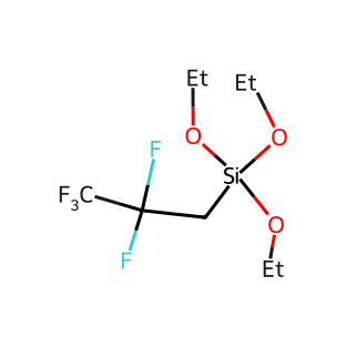 CCO[Si](CC(F)(F)C(F)(F)F)(OCC)OCC